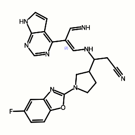 N#CCC(N/C=C(\C=N)c1ncnc2[nH]ccc12)C1CCN(c2nc3cc(F)ccc3o2)C1